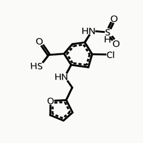 O=C(S)c1cc(N[SH](=O)=O)c(Cl)cc1NCc1ccco1